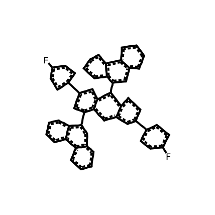 Fc1ccc(-c2ccc3c(-c4cc5ccccc5c5ccccc45)c4cc(-c5ccc(F)cc5)cc(-c5cc6ccccc6c6ccccc56)c4cc3c2)cc1